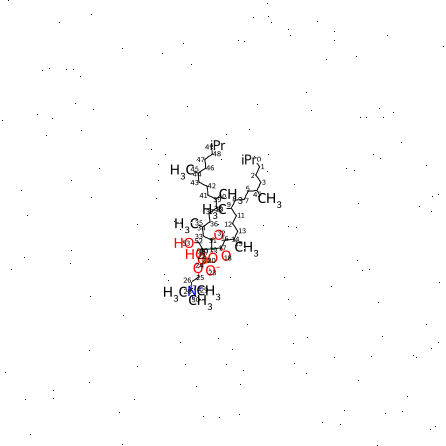 CC(C)CCCC(C)CCCC(C)CCCC(C)CC(=O)C(OP(=O)([O-])OCC[N+](C)(C)C)(C(=O)CC(C)CCCC(C)CCCC(C)CCCC(C)C)[C@@H](O)CO